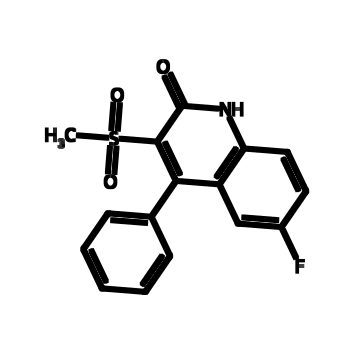 CS(=O)(=O)c1c(-c2ccccc2)c2cc(F)ccc2[nH]c1=O